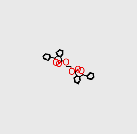 O=C(OCCOC(=O)c1ccccc1C(=O)c1ccccc1)c1ccccc1C(=O)c1ccccc1